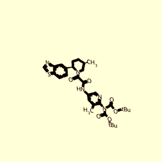 Cc1cc(NC(=O)C(=O)N2C[C@@H](C)CC[C@@H]2c2ccc3scnc3c2)cnc1N(C(=O)OC(C)(C)C)C(=O)OC(C)(C)C